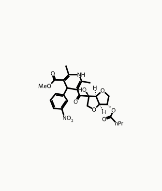 CCCC(=O)O[C@H]1CO[C@H]2[C@@H]1OC[C@]2(O)C(=O)C1=C(C)NC(C)=C(C(=O)OC)C1c1cccc([N+](=O)[O-])c1